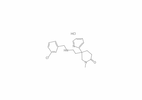 CN1CC(CCNCc2cccc(Cl)c2)(c2ccccn2)CCC1=O.Cl